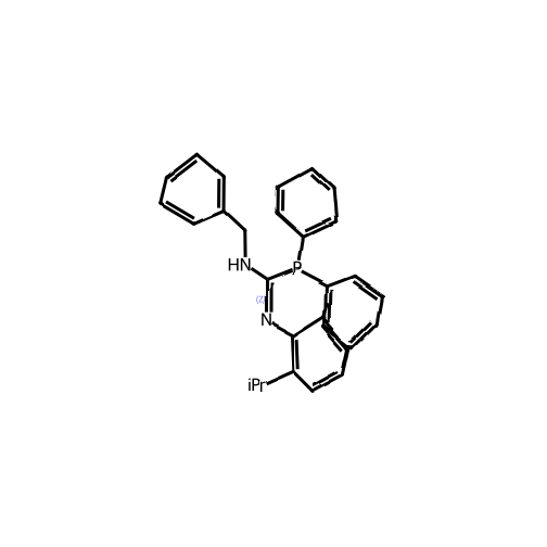 Cc1cccc(C(C)C)c1/N=C(/NCc1ccccc1)P(c1ccccc1)c1ccccc1